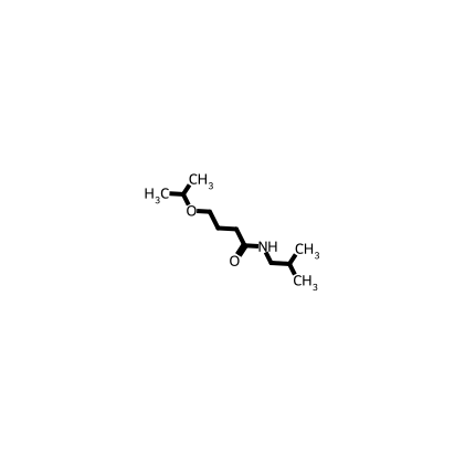 CC(C)CNC(=O)CCCOC(C)C